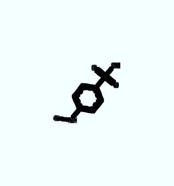 [N]Nc1ccc(S(=O)(=O)O)cc1